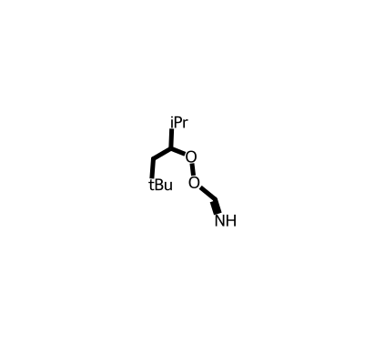 CC(C)C(CC(C)(C)C)OOC=N